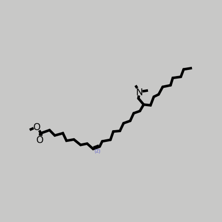 CCCCCCCCCC(CCCCCCCC/C=C\CCCCCCCC(=O)OC)CN(C)C